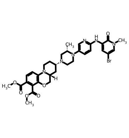 COC(=O)c1ccc2c(c1C(=O)OC)OC[C@H]1C[C@@H](N3CCN(c4ccc(Nc5cc(Br)cn(C)c5=O)nc4)[C@@H](C)C3)CCN21